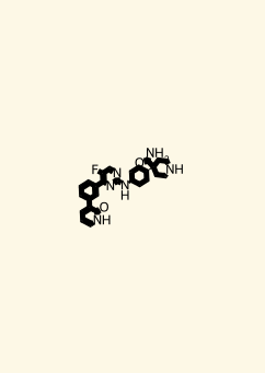 NC(=O)C1([C@H]2CC[C@H](Nc3ncc(F)c(-c4cccc(-c5ccc[nH]c5=O)c4)n3)CC2)CCNCC1